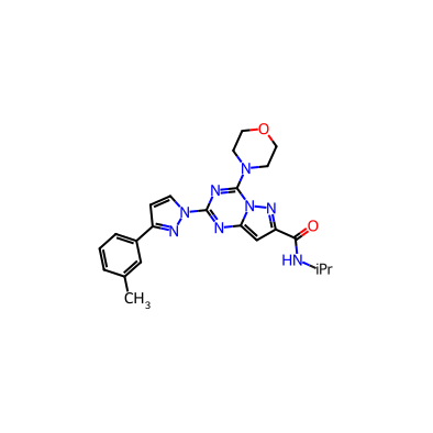 Cc1cccc(-c2ccn(-c3nc(N4CCOCC4)n4nc(C(=O)NC(C)C)cc4n3)n2)c1